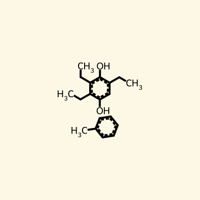 CCc1cc(O)c(CC)c(CC)c1O.Cc1ccccc1